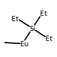 CC[Si](CC)(CC)[Eu][CH3]